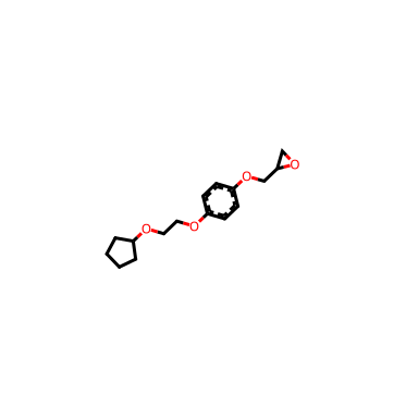 c1cc(OCC2CO2)ccc1OCCOC1CCCC1